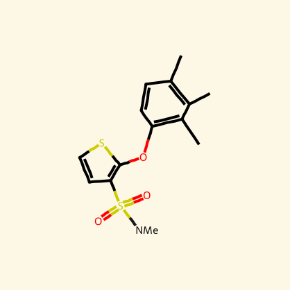 CNS(=O)(=O)c1ccsc1Oc1ccc(C)c(C)c1C